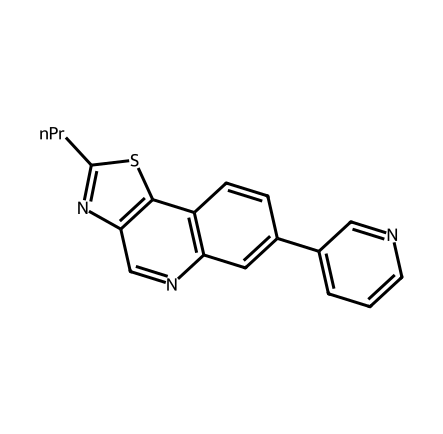 CCCc1nc2cnc3cc(-c4cccnc4)ccc3c2s1